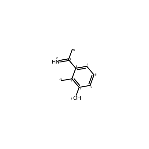 CC(=N)c1cccc(O)c1C